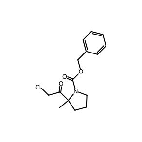 CC1(C(=O)CCl)CCCN1C(=O)OCc1ccccc1